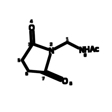 CC(=O)NCN1C(=O)CCC1=O